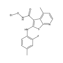 CCONC(=O)c1c(Nc2ccc(C)cc2F)sc2nccc(C)c12